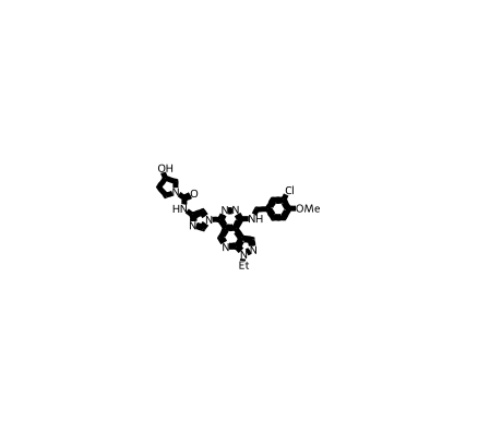 CCn1ncc2c3c(NCc4ccc(OC)c(Cl)c4)nnc(-n4cnc(NC(=O)N5CCC(O)C5)c4)c3cnc21